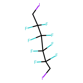 FC(F)(CI)C(F)(F)C(F)(F)C(F)(F)CI